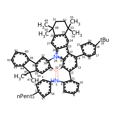 CCCCCc1ccc(Nc2ccccc2-c2cc(-c3ccc(C(C)(C)C)cc3)c3c4cc5c(cc4n4c3c2Bc2cc3c(cc2-4)-c2ccccc2C3(C)C)C(C)(C)CCC5(C)C)cc1